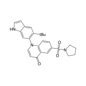 CC(C)(C)c1cc2cc[nH]c2cc1-n1ccc(=O)c2cc(S(=O)(=O)N3CCCC3)ccc21